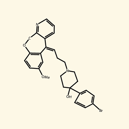 COc1ccc2c(c1)C(=CCCN1CCC(O)(c3ccc(Br)cc3)CC1)c1cccnc1CO2